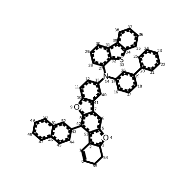 C1=Cc2c(oc3cc4c(oc5ccc(N(c6cccc(-c7ccccc7)c6)c6cccc7c6sc6ccccc67)cc54)c(-c4ccc5ccccc5c4)c23)CC1